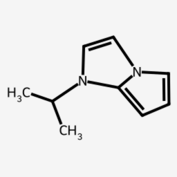 CC(C)n1ccn2cccc12